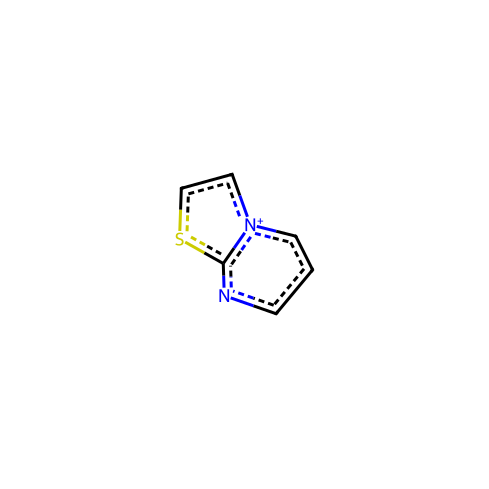 c1cnc2scc[n+]2c1